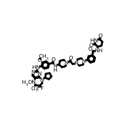 COc1cc(C(=O)NC2CCN(C(=O)CN3CCN(c4cccc(C(=O)NC5CCC(=O)NC5=O)c4)CC3)CC2)ccc1Nc1ncc2c(n1)N(C1CCCC1)CC(F)(F)C(=O)N2C